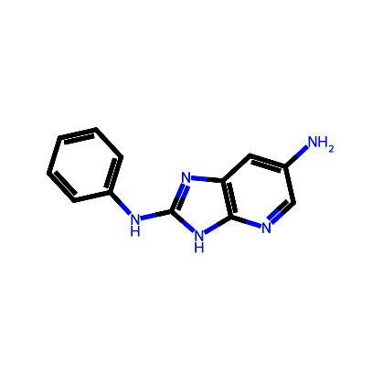 Nc1cnc2[nH]c(Nc3ccccc3)nc2c1